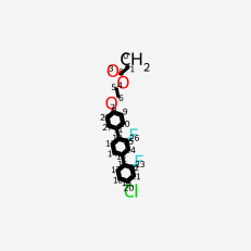 C=CC(=O)OCCOc1ccc(-c2ccc(-c3ccc(Cl)cc3F)cc2F)cc1